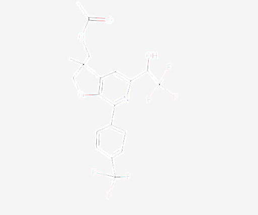 CC(=O)OCC1(C)COc2c1cc(C(O)C(F)(F)F)nc2-c1ccc(C(F)(F)F)cc1